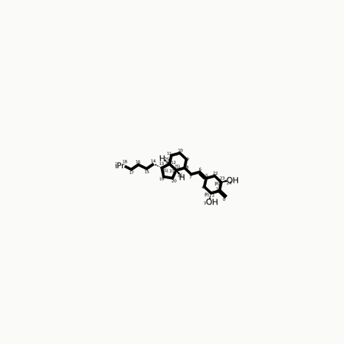 C=C1[C@H](O)CC(=CCC2CCC[C@@H]3[C@@H](CCCCC(C)C)CC[C@@H]23)C[C@H]1O